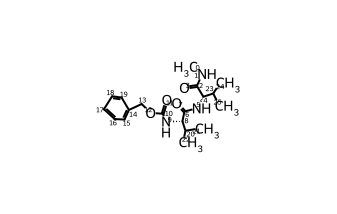 CNC(=O)[C@@H](NC(=O)[C@@H](NC(=O)OCc1ccccc1)C(C)C)C(C)C